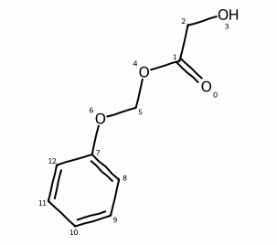 O=C(CO)OCOc1ccccc1